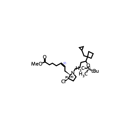 COC(=O)CCC/C=C\C[C@@H]1[C@H](Cl)CCN1CCCC(O[Si](C)(C)C(C)(C)C)C1(CC2CC2)CCC1